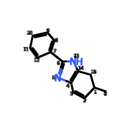 CC1C=Cc2nc(-c3ccccc3)[nH]c2C1